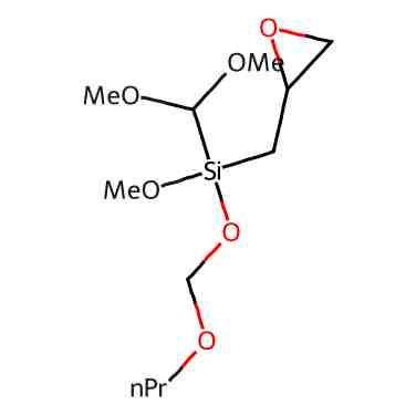 CCCOCO[Si](CC1CO1)(OC)C(OC)OC